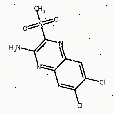 CS(=O)(=O)c1nc2cc(Cl)c(Cl)cc2nc1N